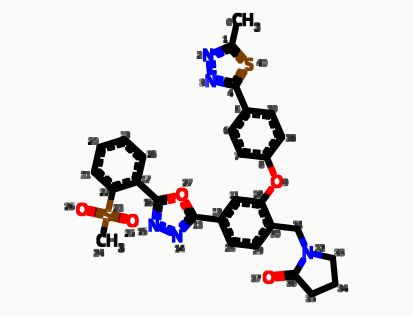 Cc1nnc(-c2ccc(Oc3cc(-c4nnc(-c5ccccc5S(C)(=O)=O)o4)ccc3CN3CCCC3=O)cc2)s1